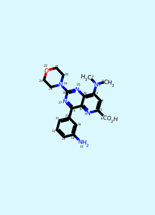 CN(C)c1cc(C(=O)O)nc2c(-c3cccc(N)c3)nc(N3CCOCC3)nc12